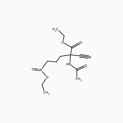 CCOC(=O)C(C#N)(CCC[PH](=O)OCC)NC(C)=O